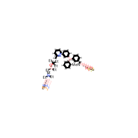 B.B.B.B.B.B.B.B.CCB(CC)OC(CC)(CC)CC.CCN(CC)CC.CNC.Cc1ccccn1.N.O.P.S.c1ccc(B(c2ccccc2)c2ccccc2)cc1